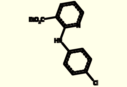 CCOC(=O)c1cccnc1Nc1ccc(Cl)cc1